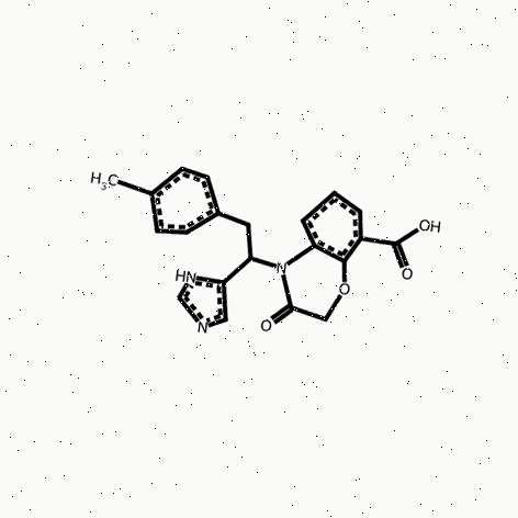 Cc1ccc(CC(c2cnc[nH]2)N2C(=O)COc3c(C(=O)O)cccc32)cc1